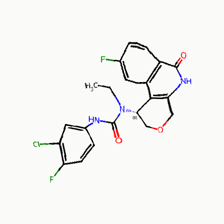 CCN(C(=O)Nc1ccc(F)c(Cl)c1)[C@H]1COCc2[nH]c(=O)c3ccc(F)cc3c21